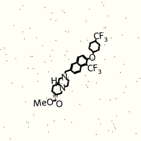 COC(=O)[C@@H]1CC[C@@H]2CN(Cc3ccc4c(C(F)(F)F)c(OC5CCC(C(F)(F)F)CC5)ccc4c3)CCN2C1